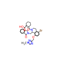 Cn1cnc(COc2ccc(Br)c3c2C(CN2Cc4ccccc4C2=O)N(C(=O)[C@@H]2CCCC[C@@H]2C(=O)O)CC3)n1